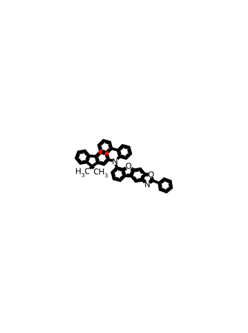 CC1(C)c2ccccc2-c2ccc(N(c3ccccc3-c3ccccc3)c3cccc4c3oc3cc5oc(-c6ccccc6)nc5cc34)cc21